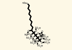 CCCCCCCCCCCCCCCCCCCC(OS(=O)(=O)O)C(OS(=O)(=O)O)(OS(=O)(=O)O)C(OS(=O)(=O)[O-])(OS(=O)(=O)O)C(OS(=O)(=O)O)(OS(=O)(=O)O)C(OS(=O)(=O)O)(OS(=O)(=O)O)OS(=O)(=O)O.[Na+]